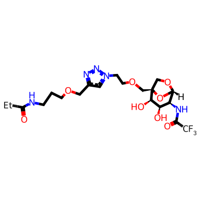 CCC(=O)NCCCOCc1cn(CCOC[C@@]23CO[C@@H](O2)[C@@H](NC(=O)C(F)(F)F)[C@@H](O)[C@H]3O)nn1